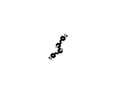 CN(C)c1ccc(/C=C/c2ccnc(-c3cc(/C=C/c4ccc(N(C)C)cc4)ccn3)c2)cc1